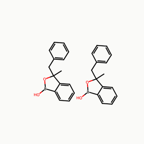 CC1(Cc2ccccc2)OB(O)c2ccccc21.CC1(Cc2ccccc2)OB(O)c2ccccc21